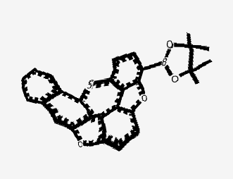 CC1(C)OB(c2ccc3sc4c5ccccc5cc5oc6ccc7oc2c3c7c6c54)OC1(C)C